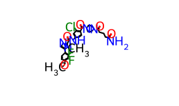 COc1ccc(-c2cnc(C(=O)Nc3ccc(C(=O)N4CCN(C(=O)CCCC(N)=O)CC4)c(Cl)c3)n2C)c(F)c1F